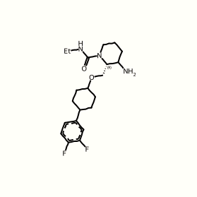 CCNC(=O)N1CCCC(N)[C@@H]1COC1CCC(c2ccc(F)c(F)c2)CC1